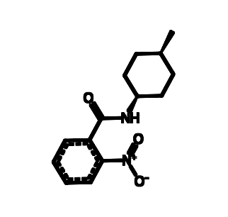 C[C@H]1CC[C@@H](NC(=O)c2ccccc2[N+](=O)[O-])CC1